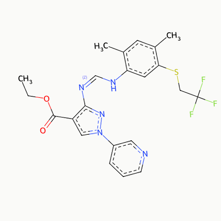 CCOC(=O)c1cn(-c2cccnc2)nc1/N=C\Nc1cc(SCC(F)(F)F)c(C)cc1C